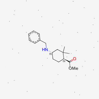 COC(=O)[C@H]1CC[C@H](NCc2ccccc2)CC1(C)C